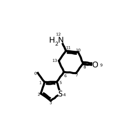 Cc1ccsc1C1CC(=O)C=C(N)C1